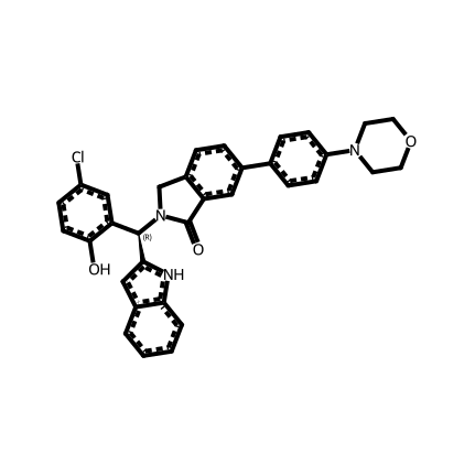 O=C1c2cc(-c3ccc(N4CCOCC4)cc3)ccc2CN1[C@@H](c1cc2ccccc2[nH]1)c1cc(Cl)ccc1O